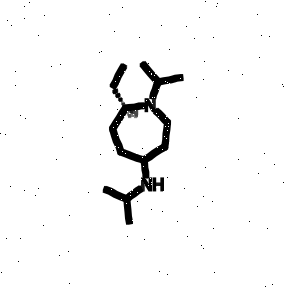 CC[C@H]1CCC(NC(C)C)CCN1C(C)C